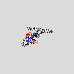 COc1cc(OC)c(CNC(=O)[C@H]([C@@H](C)O)N2CC3(CCCCC3)CC2=O)c(OC)c1